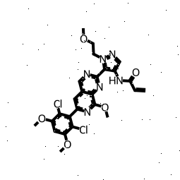 C=CC(=O)Nc1cnn(CCOC)c1-c1ncc2cc(-c3c(Cl)c(OC)cc(OC)c3Cl)nc(OC)c2n1